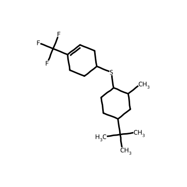 CC1CC(C(C)(C)C)CCC1SC1CC=C(C(F)(F)F)CC1